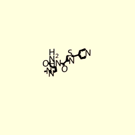 Cn1ncc(NC(=O)c2csc(-c3ccncc3)n2)c1C(N)=O